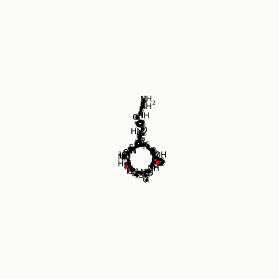 CNC(=O)C[C@@H]1NC(=O)c2csc(n2)-c2ccc(-c3nc(NC(=O)[C@H]4CC[C@H](C(=O)NCCCNCCN)CC4)cs3)nc2-c2csc(n2)-c2csc(n2)[C@H]([C@@H](O)c2ccccc2)NC(=O)CNC(=O)c2nc(sc2COC)[C@H](C(C)C)NC(=O)c2nc1sc2C